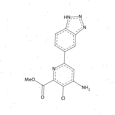 COC(=O)c1nc(-c2ccc3[nH]nnc3c2)cc(N)c1Cl